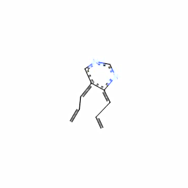 C=C/C=c1/cncn/c1=C/C=C